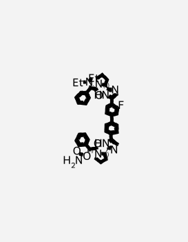 CCN(CC)[C@@H](C(=O)N1CCC[C@H]1c1ncc(-c2ccc(-c3ccc(-c4cnc([C@@H]5CCCN5C(=O)[C@H](OC(N)=O)c5ccccc5)[nH]4)cc3)cc2F)[nH]1)c1ccccc1